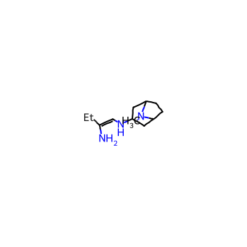 CC/C(N)=C/NC1CC2CCC(C1)N2C